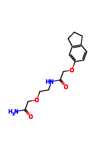 NC(=O)COCCNC(=O)COc1ccc2c(c1)CCC2